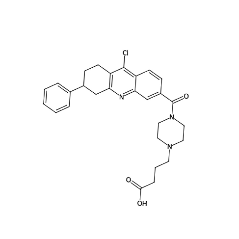 O=C(O)CCCN1CCN(C(=O)c2ccc3c(Cl)c4c(nc3c2)CC(c2ccccc2)CC4)CC1